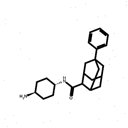 N[C@H]1CC[C@H](NC(=O)C2C3CC4CC2CC(c2ccccc2)(C4)C3)CC1